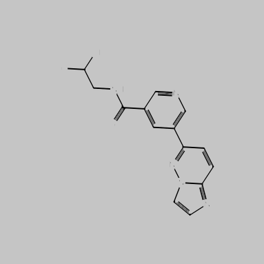 CC(C)CNC(=O)c1cncc(-c2ccc3nccn3n2)c1